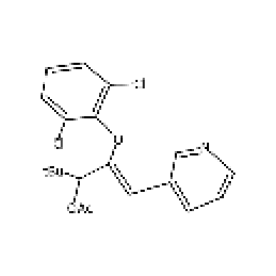 CC(=O)OC(C(=Cc1cccnc1)Oc1c(Cl)cccc1Cl)C(C)(C)C